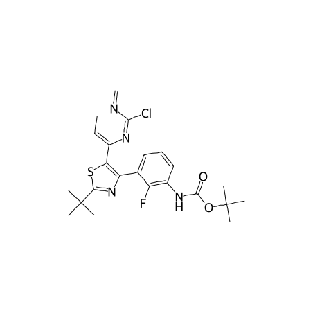 C=N/C(Cl)=N\C(=C/C)c1sc(C(C)(C)C)nc1-c1cccc(NC(=O)OC(C)(C)C)c1F